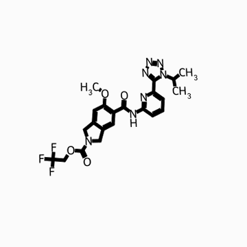 COc1cc2c(cc1C(=O)Nc1cccc(-c3nnnn3C(C)C)n1)CN(C(=O)OCC(F)(F)F)C2